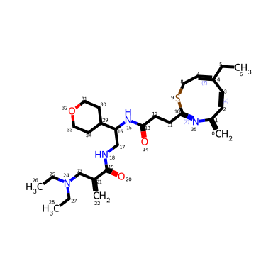 C=C1/C=C\C(CC)=C/CS/C(CCC(=O)NC(CNC(=O)C(=C)CN(CC)CC)C2CCOCC2)=N\1